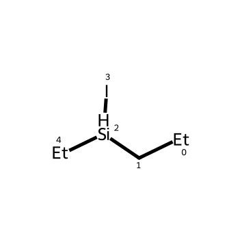 CCC[SiH](I)CC